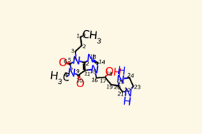 CCCCn1c(=O)n(C)c(=O)c2c1ncn2CC(O)CC1CNCCN1